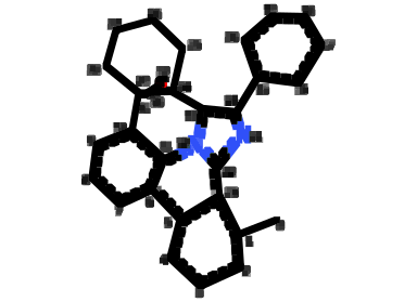 Cc1cccc2c3cccc4c3n3c(c(-c5ccccc5)nc3c12)C12CCCCC41CCCC2